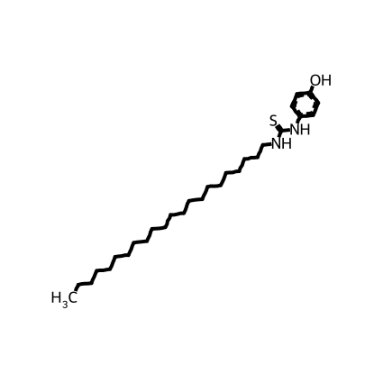 CCCCCCCCCCCCCCCCCCCCCCNC(=S)Nc1ccc(O)cc1